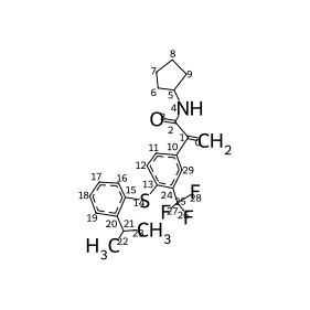 C=C(C(=O)NC1CCCC1)c1ccc(Sc2ccccc2C(C)C)c(C(F)(F)F)c1